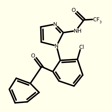 O=C(c1ccccc1)c1cccc(Cl)c1-n1ccnc1NC(=O)C(F)(F)F